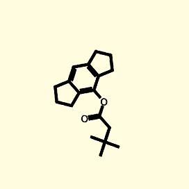 CC(C)(C)CC(=O)Oc1c2c(cc3c1CCC3)CCC2